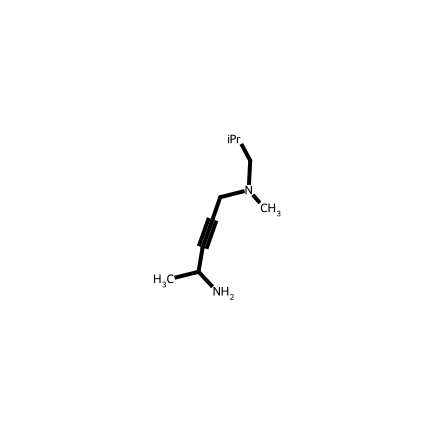 CC(N)C#CCN(C)CC(C)C